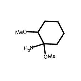 COC1CCCCC1(N)OC